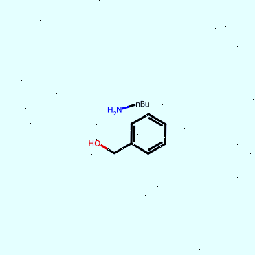 CCCCN.OCc1ccccc1